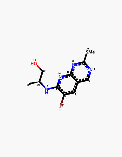 CSc1ncc2cc(Br)c(N[C@@H](C)CO)nc2n1